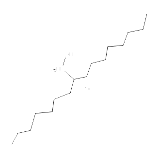 CCCCCCCCC(CCCCCCC)[PH](=O)O.[Ni]